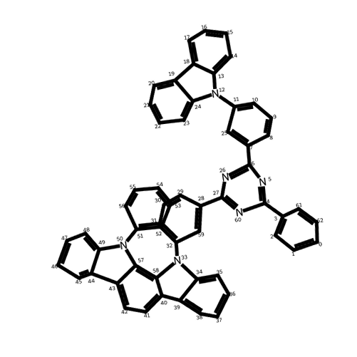 c1ccc(-c2nc(-c3cccc(-n4c5ccccc5c5ccccc54)c3)nc(-c3cccc(-n4c5ccccc5c5ccc6c7ccccc7n(-c7ccccc7)c6c54)c3)n2)cc1